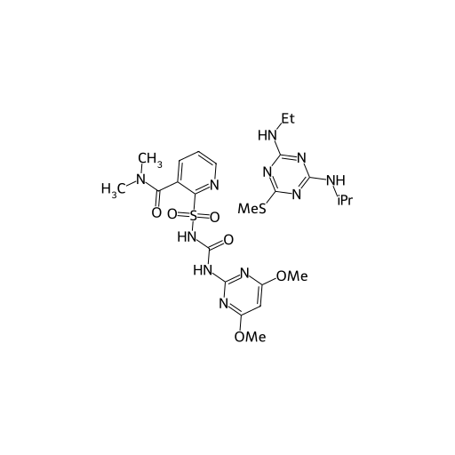 CCNc1nc(NC(C)C)nc(SC)n1.COc1cc(OC)nc(NC(=O)NS(=O)(=O)c2ncccc2C(=O)N(C)C)n1